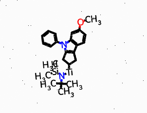 COc1ccc2c3c(n(-c4ccccc4)c2c1)C[CH]([Ti][N]([SiH](C)C)C(C)(C)C)C3